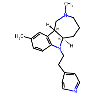 Cc1ccc2c(c1)[C@@H]1CN(C)CCC[C@H]1N2CCc1ccncc1